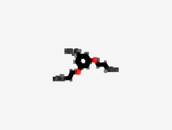 CCCCCCCCCCCCOc1cc(OCCCCCCCCCCCC)cc(C(=O)O)c1